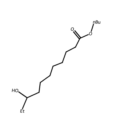 CCCCOC(=O)CCCCCCCC(O)CC